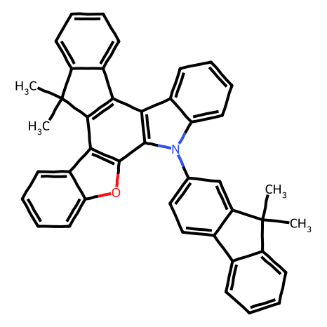 CC1(C)c2ccccc2-c2ccc(-n3c4ccccc4c4c5c(c6c7ccccc7oc6c43)C(C)(C)c3ccccc3-5)cc21